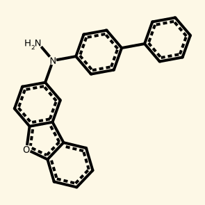 NN(c1ccc(-c2ccccc2)cc1)c1ccc2oc3ccccc3c2c1